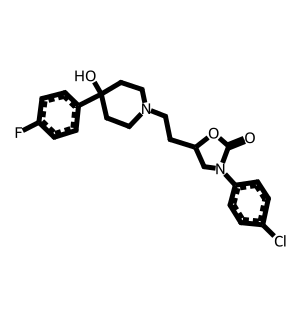 O=C1OC(CCN2CCC(O)(c3ccc(F)cc3)CC2)CN1c1ccc(Cl)cc1